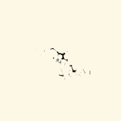 CCc1onc(C(=O)NCC(C)(C)N)c1C